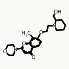 Cc1c(OCCN2CCCCC2CO)ccc2c(=O)cc(N3CCOCC3)oc12